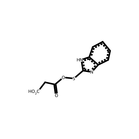 O=C(O)CC(=O)OSc1nc2ccccc2[nH]1